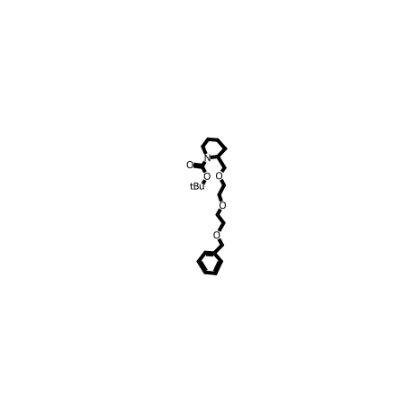 CC(C)(C)OC(=O)N1CCCCC1COCCOCCOCc1ccccc1